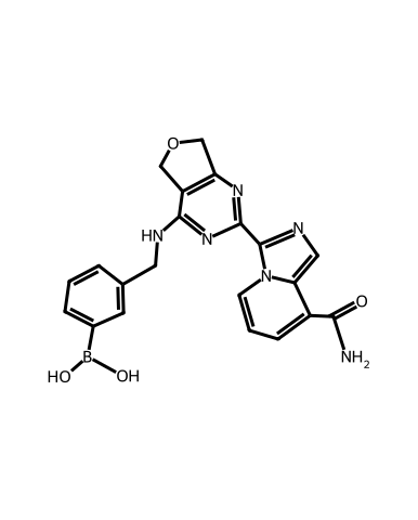 NC(=O)c1cccn2c(-c3nc4c(c(NCc5cccc(B(O)O)c5)n3)COC4)ncc12